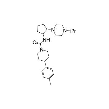 Cc1ccc(C2CCN(C(=O)NC3CCC[C@@H]3N3CCN(C(C)C)CC3)CC2)cc1